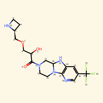 O=C(C(O)COC[C@@H]1CCN1)N1CCN2c3ncc(C(F)(F)F)cc3NC2C1